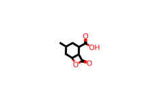 CC1CC2OC(=O)C2C(C(=O)O)C1